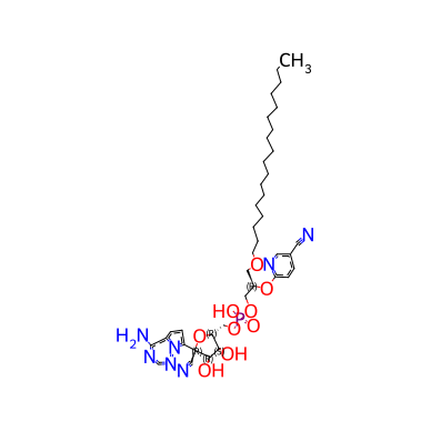 CCCCCCCCCCCCCCCCCCOC[C@H](COP(=O)(O)OC[C@H]1O[C@@](C#N)(c2ccc3c(N)ncnn23)[C@H](O)[C@@H]1O)Oc1ccc(C#N)cn1